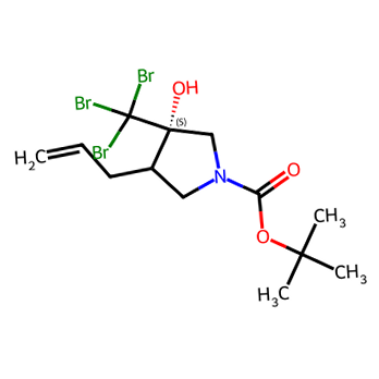 C=CCC1CN(C(=O)OC(C)(C)C)C[C@]1(O)C(Br)(Br)Br